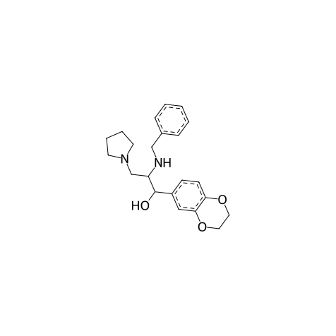 OC(c1ccc2c(c1)OCCO2)C(CN1CCCC1)NCc1ccccc1